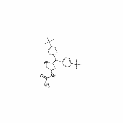 CC(C)(C)c1ccc(C(c2ccc(C(C)(C)C)cc2)[C@H]2C[C@@H](NC(N)=O)CN2)cc1